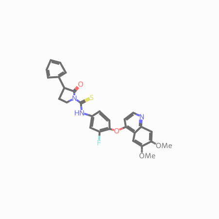 COc1cc2nccc(Oc3ccc(NC(=S)N4CCC(c5ccccc5)C4=O)cc3F)c2cc1OC